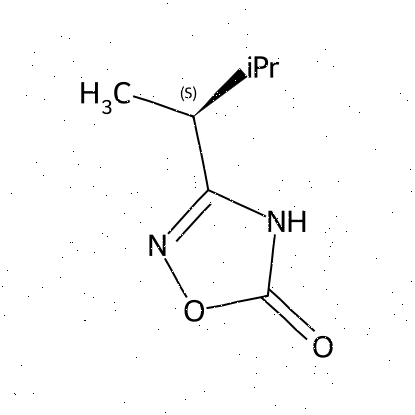 CC(C)[C@H](C)c1noc(=O)[nH]1